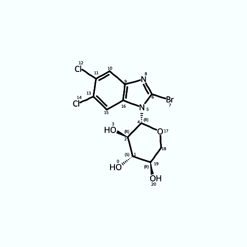 O[C@@H]1[C@@H](O)[C@H](n2c(Br)nc3cc(Cl)c(Cl)cc32)OC[C@H]1O